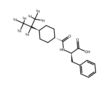 [2H]C([2H])([2H])C([2H])([C@H]1CC[C@H](C(=O)N[C@H](Cc2ccccc2)C(=O)O)CC1)C([2H])([2H])[2H]